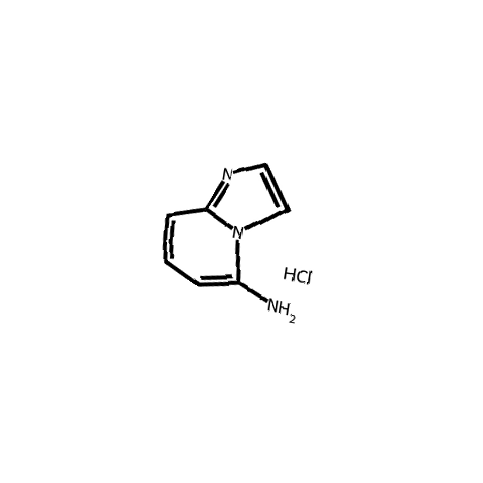 Cl.Nc1cccc2nccn12